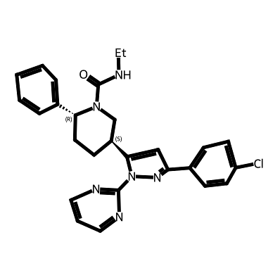 CCNC(=O)N1C[C@@H](c2cc(-c3ccc(Cl)cc3)nn2-c2ncccn2)CC[C@@H]1c1ccccc1